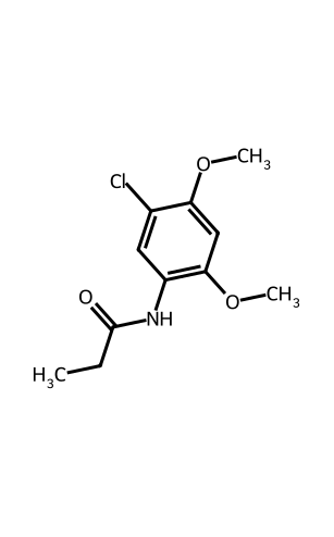 CCC(=O)Nc1cc(Cl)c(OC)cc1OC